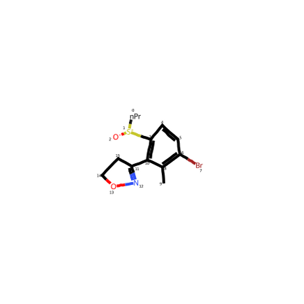 CCC[S+]([O-])c1ccc(Br)c(C)c1C1=NOCC1